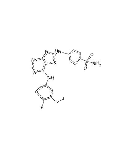 NS(=O)(=O)c1ccc(Nc2nc3ncnc(Nc4ccc(F)c(CI)c4)c3s2)cc1